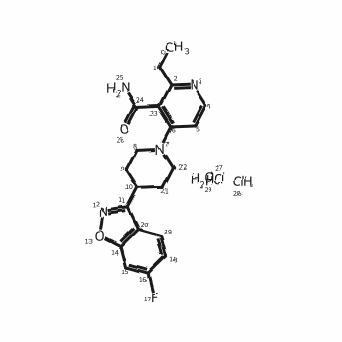 CCc1nccc(N2CCC(c3noc4cc(F)ccc34)CC2)c1C(N)=O.Cl.Cl.O